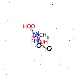 CC1=NN(CCCC(=O)O)C(=O)/C1=N\Nc1cccc(/C=C/c2ccccc2)c1O